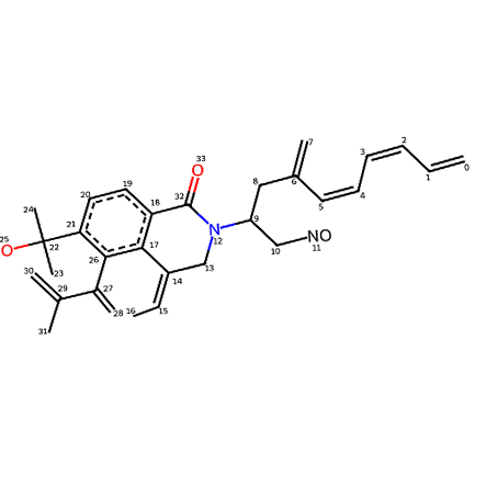 C=C/C=C\C=C/C(=C)CC(CN=O)N1C/C(=C/C)c2c(ccc(C(C)(C)O)c2C(=C)C(=C)C)C1=O